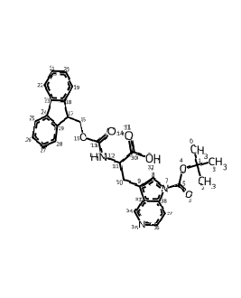 CC(C)(C)OC(=O)n1cc(CC(NC(=O)OCC2c3ccccc3-c3ccccc32)C(=O)O)c2cnccc21